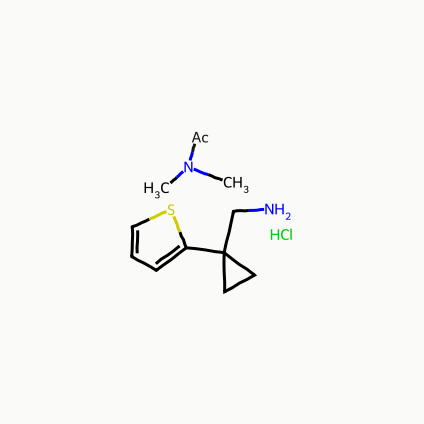 CC(=O)N(C)C.Cl.NCC1(c2cccs2)CC1